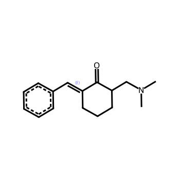 CN(C)CC1CCC/C(=C\c2ccccc2)C1=O